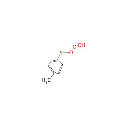 C[I+]1=CC=C(SOOO)C=C1